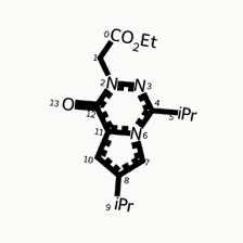 CCOC(=O)Cn1nc(C(C)C)n2cc(C(C)C)cc2c1=O